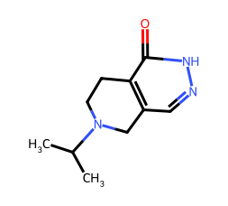 CC(C)N1CCc2c(cn[nH]c2=O)C1